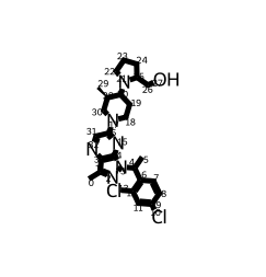 Cc1nn(C(C)c2ccc(Cl)cc2Cl)c2nc(N3CCC(N4CCCC4CO)[C@H](C)C3)cnc12